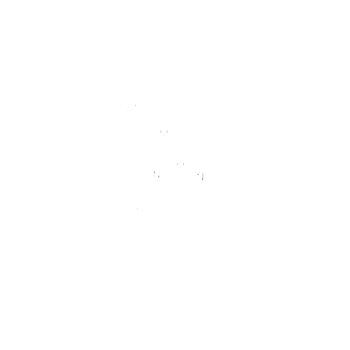 O=C(O)Cc1csc(-c2ccccc2[N+](=O)[O-])n1